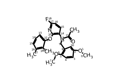 COc1ccc(OC)c(CN(C(C)=O)c2ccc(F)nc2Oc2cccc(C)c2C)c1